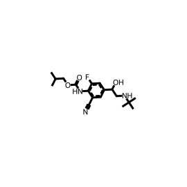 CC(C)COC(=O)Nc1c(F)cc(C(O)CNC(C)(C)C)cc1C#N